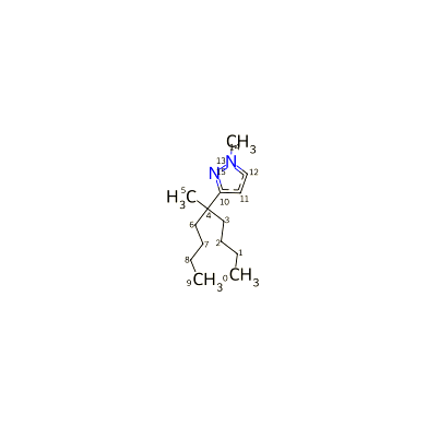 CCCCC(C)(CCCC)c1ccn(C)n1